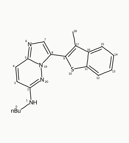 CCCCNc1ccc2ncc(-c3sc4ccccc4c3C)n2n1